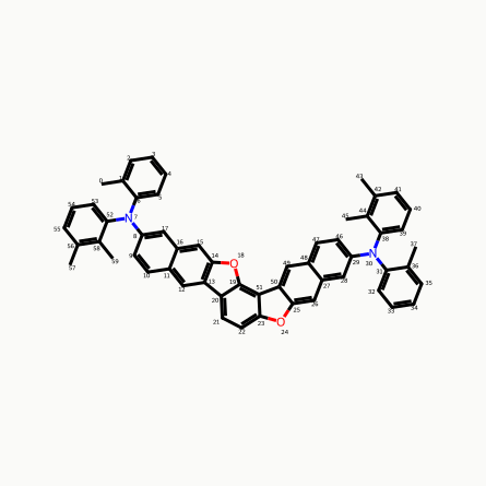 Cc1ccccc1N(c1ccc2cc3c(cc2c1)oc1c3ccc2oc3cc4cc(N(c5ccccc5C)c5cccc(C)c5C)ccc4cc3c21)c1cccc(C)c1C